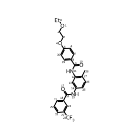 CCOCCOc1ccc(C(=O)Nc2cc(NC(=O)c3cccc(C(F)(F)F)c3)ccc2C)cc1